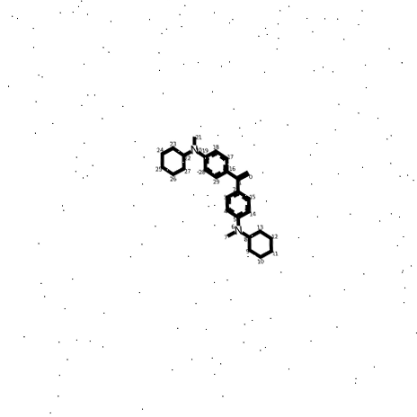 C=C(c1ccc(N(C)C2CCCCC2)cc1)c1ccc(N(C)C2CCCCC2)cc1